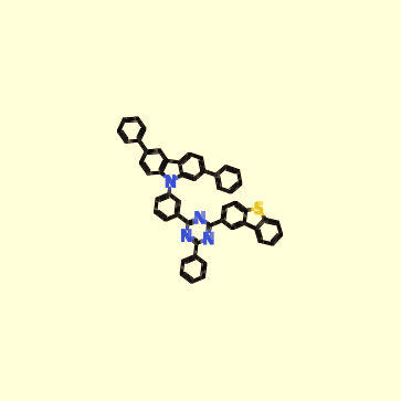 c1ccc(-c2ccc3c(c2)c2ccc(-c4ccccc4)cc2n3-c2cccc(-c3nc(-c4ccccc4)nc(-c4ccc5sc6ccccc6c5c4)n3)c2)cc1